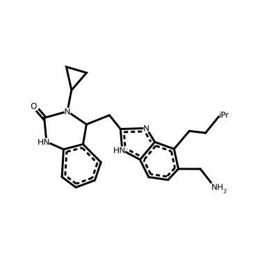 CC(C)CCc1c(CN)ccc2[nH]c(CC3c4ccccc4NC(=O)N3C3CC3)nc12